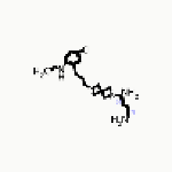 C=CNc1ccc(Cl)cc1CCCN1CC2(C1)CN(/C(N)=C/C=C\N)C2